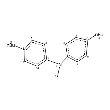 CCCCc1ccc(N(C)c2ccc(CCCC)cc2)cc1